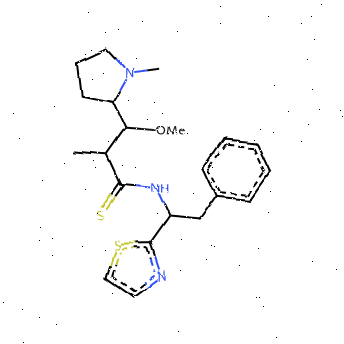 COC(C(C)C(=S)NC(Cc1ccccc1)c1nccs1)C1CCCN1C